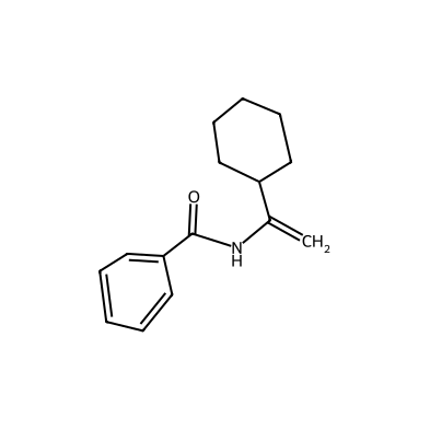 C=C(NC(=O)c1ccccc1)C1CCCCC1